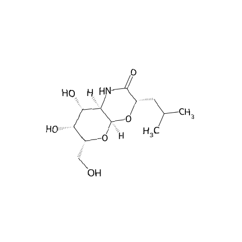 CC(C)C[C@@H]1O[C@H]2O[C@H](CO)[C@H](O)[C@H](O)[C@H]2NC1=O